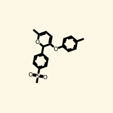 CC1=CC=C(Oc2ccc(C)cc2)C(c2ccc(S(C)(=O)=O)cc2)O1